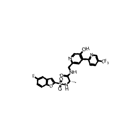 C[C@H](NS(=O)(=O)c1cc2cc(F)ccc2o1)C(=O)NCc1cc(-c2ccc(C(F)(F)F)cn2)c(O)cn1